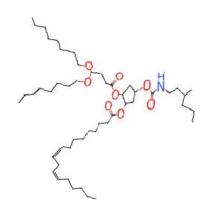 CCCCC/C=C\C/C=C\CCCCCCCC(=O)OC1CC(OC(=O)NCCC(C)CCC)CC1OC(=O)CCC(OCCCCCCCC)OCCCCCCCC